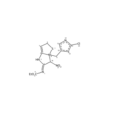 CCOC(=O)N=C1NC2=CCS[N+]2(Cc2cnc(Cl)s2)C1[N+](=O)[O-]